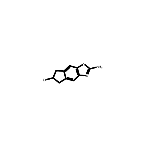 CCC1Cc2cc3nc(N)sc3cc2C1